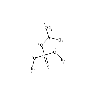 CCOP(=S)(OCC)OC(Cl)C(Cl)(Cl)Cl